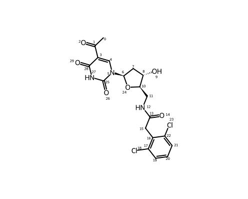 CC(=O)c1cn([C@H]2C[C@H](O)[C@@H](CNC(=O)Cc3c(Cl)cccc3Cl)O2)c(=O)[nH]c1=O